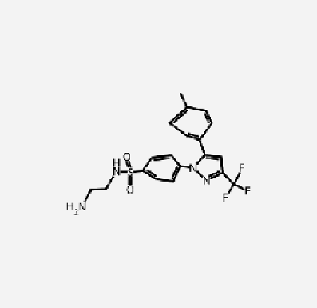 Cc1ccc(-c2cc(C(F)(F)F)nn2-c2ccc(S(=O)(=O)NCCN)cc2)cc1